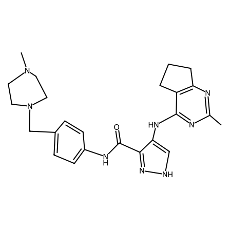 Cc1nc2c(c(Nc3c[nH]nc3C(=O)Nc3ccc(CN4CCN(C)CC4)cc3)n1)CCC2